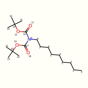 CCCCCCCCCN(C(=O)OC(C)(C)C)C(=O)OC(C)(C)C